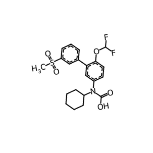 CS(=O)(=O)c1cccc(-c2cc(N(C(=O)O)C3CCCCC3)ccc2OC(F)F)c1